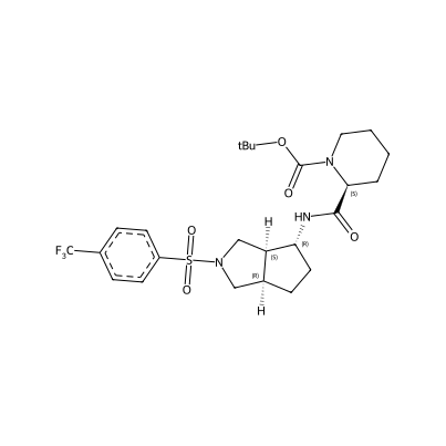 CC(C)(C)OC(=O)N1CCCC[C@H]1C(=O)N[C@@H]1CC[C@H]2CN(S(=O)(=O)c3ccc(C(F)(F)F)cc3)C[C@H]21